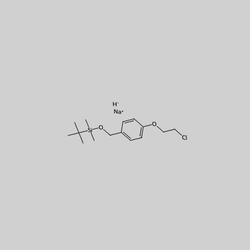 CC(C)(C)[Si](C)(C)OCc1ccc(OCCCl)cc1.[H-].[Na+]